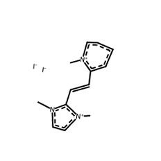 Cn1cc[n+](C)c1C=Cc1cccc[n+]1C.[I-].[I-]